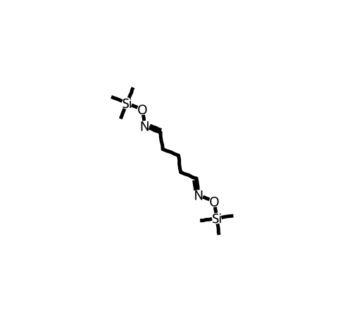 C[Si](C)(C)ON=CCCCC=NO[Si](C)(C)C